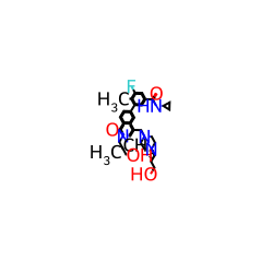 Cc1c(F)cc(C(=O)NC2CC2)cc1-c1ccc2c(=O)n(CC(C)(C)CO)cc(CN3CCN(CCCO)CC3)c2c1